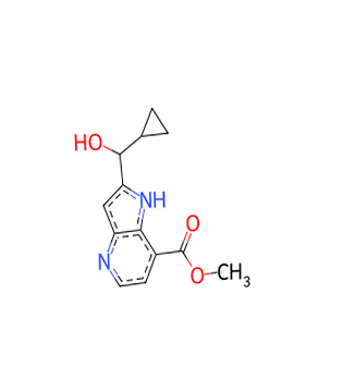 COC(=O)c1ccnc2cc(C(O)C3CC3)[nH]c12